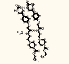 CCOC(=O)N1CCN(CCNC(=O)COc2ccc(C3=NNC(=O)NC3)cc2)CC1.CCOC(=O)N1CCN(CCNC(=O)COc2ccc(C3=NNC(=O)NC3)cc2)CC1.O